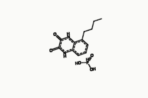 CCCCc1cccc2[nH]c(=O)c(=O)[nH]c12.O=[PH](O)O